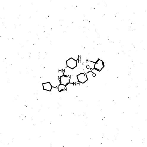 N[C@H]1CC[C@H](Nc2nc(NC3CCN(S(=O)(=O)c4ccccc4Br)CC3)c3ncn(C4CCCC4)c3n2)CC1